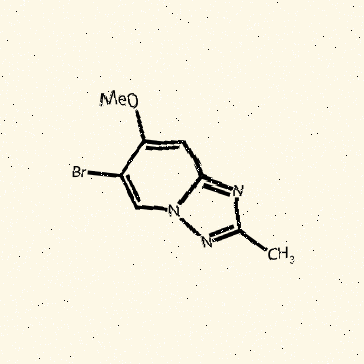 COc1cc2nc(C)nn2cc1Br